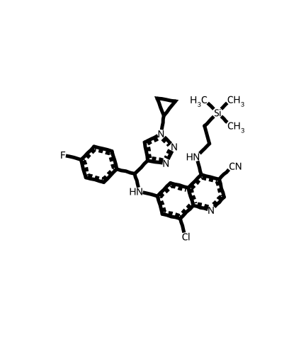 C[Si](C)(C)CCNc1c(C#N)cnc2c(Cl)cc(NC(c3ccc(F)cc3)c3cn(C4CC4)nn3)cc12